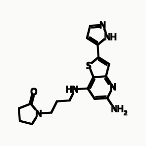 Nc1cc(NCCCN2CCCC2=O)c2sc(-c3ccn[nH]3)cc2n1